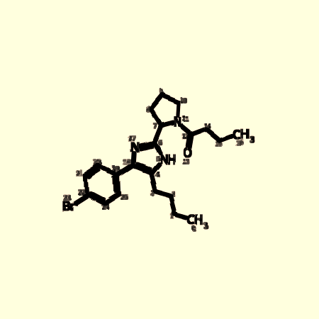 CCCCc1[nH]c(C2CCCN2C(=O)CCC)nc1-c1ccc(Br)cc1